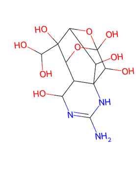 NC1=NC(O)C2C3OC4(O)OC(C(O)C2(N1)C4O)C3(O)C(O)O